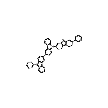 C1=CCCC(n2c3ccccc3c3cc(-c4ccc5c(c4)c4ccccc4n5C4=Cc5sc6c(c5CC4)CCC(c4ccccc4)=C6)ccc32)=C1